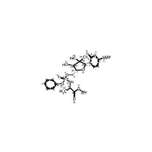 CNc1ccn([C@@H]2O[C@H](CO[P@](=O)(NC(C)C(=O)OC(C)C)Oc3ccccc3)[C@@H](O)[C@@]2(C)C#N)c(=O)n1